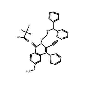 COc1ccc2c(=O)n(CCNC(c3ccccc3)c3ccccc3)c(C#N)c(-c3ccccc3)c2c1.O=C(O)C(F)(F)F